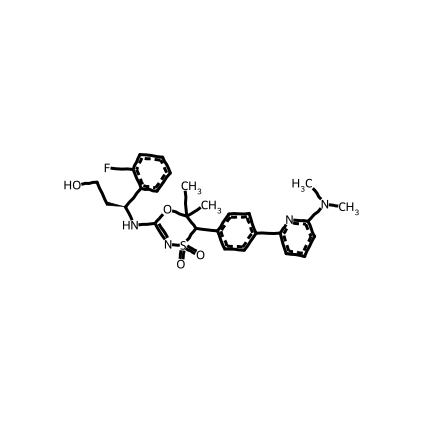 CN(C)c1cccc(-c2ccc(C3C(C)(C)OC(N[C@@H](CCO)c4ccccc4F)=NS3(=O)=O)cc2)n1